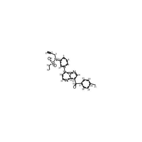 C#CCN(c1cccc(-c2ccnc3c(C(=O)c4ccc(C)cc4)cnn23)c1)S(=O)(=O)CC